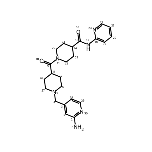 Nc1cc(CN2CCC(C(=O)N3CCC(C(=O)Nc4ccccn4)CC3)CC2)ccn1